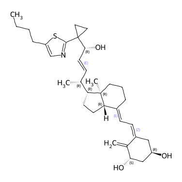 C=C1/C(=C\C=C2/CCC[C@]3(C)[C@@H]([C@H](C)/C=C/[C@@H](O)C4(c5ncc(CCCC)s5)CC4)CC[C@@H]23)C[C@@H](O)C[C@@H]1O